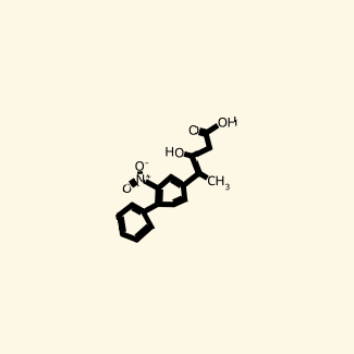 CC(c1ccc(-c2ccccc2)c([N+](=O)[O-])c1)C(O)CC(=O)O